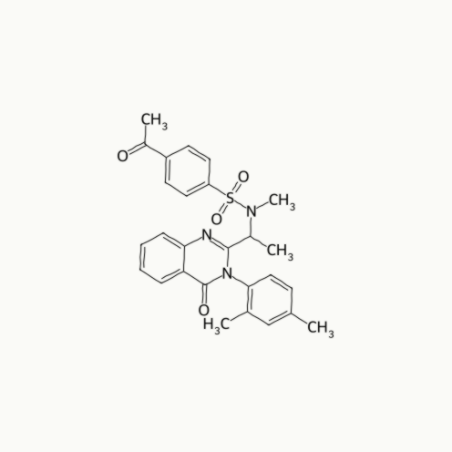 CC(=O)c1ccc(S(=O)(=O)N(C)C(C)c2nc3ccccc3c(=O)n2-c2ccc(C)cc2C)cc1